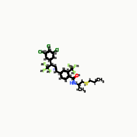 CCCSCC(C)NC(=O)c1ccc(/C=C/C(c2cc(Cl)c(Cl)c(Cl)c2)C(F)(F)F)cc1C(F)(F)F